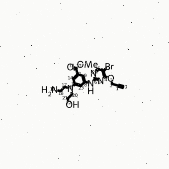 C#CCOc1nc(Nc2cc(C(=O)OC)cc(N(CCN)CCO)c2)ncc1Br